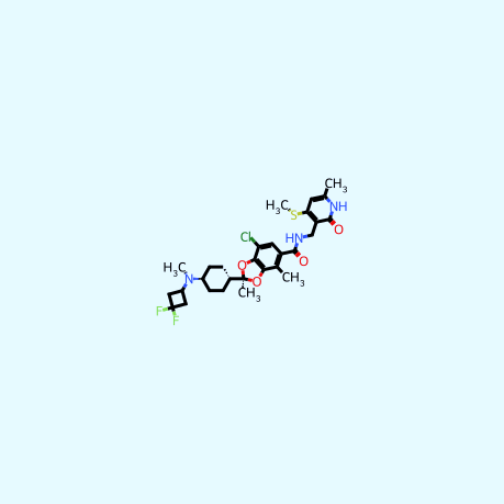 CSc1cc(C)[nH]c(=O)c1CNC(=O)c1cc(Cl)c2c(c1C)O[C@@](C)([C@H]1CC[C@H](N(C)C3CC(F)(F)C3)CC1)O2